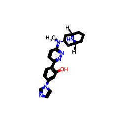 CN(c1ccc(-c2ccc(-n3ccnc3)cc2O)nn1)[C@H]1C[C@H]2CCC[C@@H](C1)N2